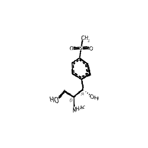 CC(=O)N[C@@H](CO)[C@@H](O)c1ccc(S(C)(=O)=O)cc1